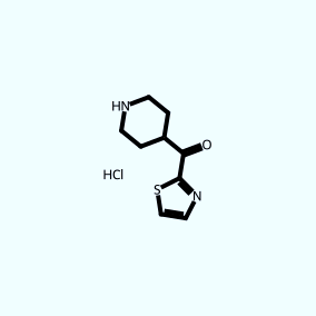 Cl.O=C(c1nccs1)C1CCNCC1